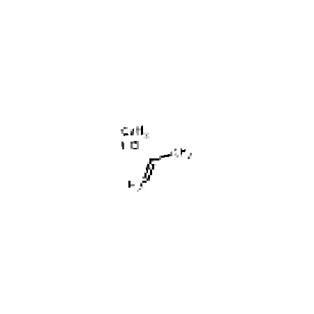 C=CC.Cl.[CaH2]